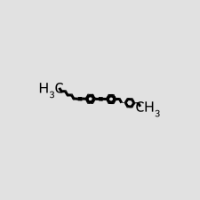 CCCCCCC#Cc1ccc(C#Cc2ccc(CC[C@H]3CC[C@H](CC)CC3)cc2)cc1